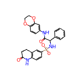 O=C1CCc2cc(S(=O)(=O)NC(C(=O)Nc3ccc4c(c3)OCCO4)c3ccccc3)ccc2N1